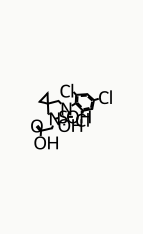 O=C(O)CN1CC2(CC2)CN(c2c(Cl)cc(Cl)cc2Cl)S1(O)O